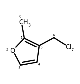 Cc1occc1CCl